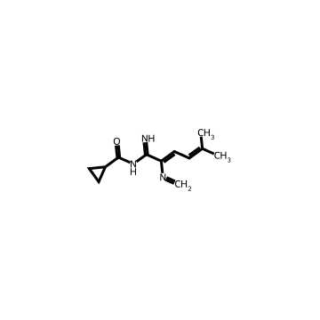 C=N/C(=C\C=C(C)C)C(=N)NC(=O)C1CC1